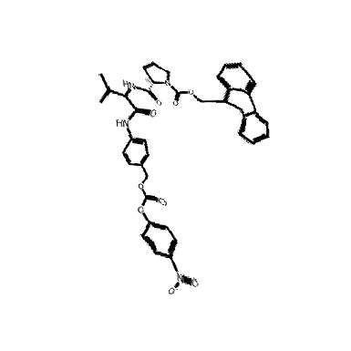 CC(C)C(NC(=O)[C@@H]1CCCN1C(=O)OCC1c2ccccc2-c2ccccc21)C(=O)Nc1ccc(COC(=O)Oc2ccc([N+](=O)[O-])cc2)cc1